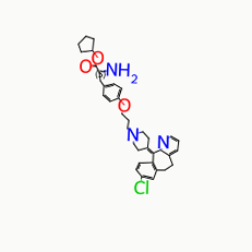 N[C@@H](Cc1ccc(OCCCN2CCC(=C3c4ccc(Cl)cc4CCc4cccnc43)CC2)cc1)C(=O)OC1CCCC1